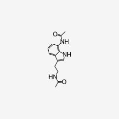 CC(=O)NCCc1c[nH]c2c(NC(C)=O)cccc12